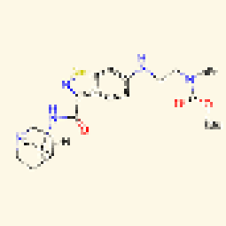 CCCN(CCNc1ccc2c(C(=O)N[C@@H]3CN4CCC3CC4)nsc2c1)C(=O)OC(C)(C)C